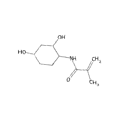 C=C(C)C(=O)NC1CCC(O)CC1O